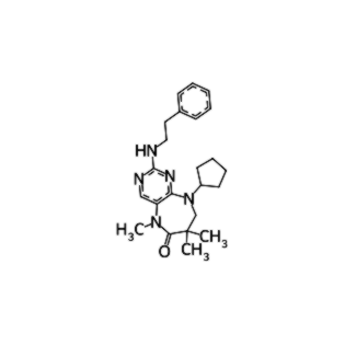 CN1C(=O)C(C)(C)CN(C2CCCC2)c2nc(NCCc3ccccc3)ncc21